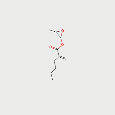 C=C(CCCC)C(=O)OC1OC1C